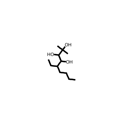 CCCCC(CC)C(O)C(O)C(C)(C)O